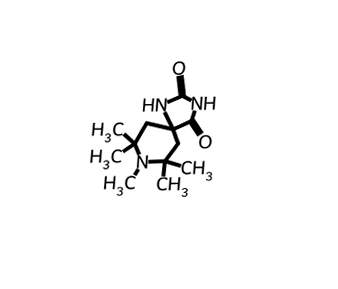 CN1C(C)(C)CC2(CC1(C)C)NC(=O)NC2=O